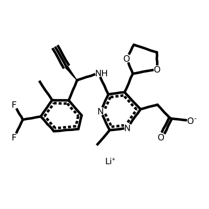 C#C[C@@H](Nc1nc(C)nc(CC(=O)[O-])c1C1OCCO1)c1cccc(C(F)F)c1C.[Li+]